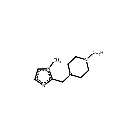 Cn1ccnc1CN1CCN(C(=O)O)CC1